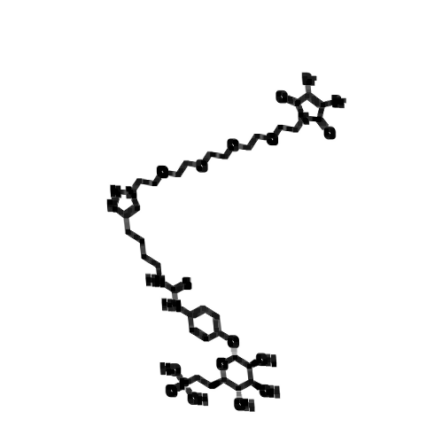 O=C1C(Br)=C(Br)C(=O)N1CCOCCOCCOCCOCCn1cc(CCCCNC(=S)Nc2ccc(O[C@H]3O[C@H](CCP(=O)(O)O)[C@@H](O)[C@H](O)[C@@H]3O)cc2)nn1